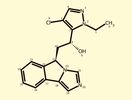 CCn1ncc(Cl)c1[C@H](O)C[C@@H]1c2ccccc2-c2cncn21